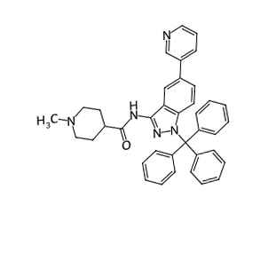 CN1CCC(C(=O)Nc2nn(C(c3ccccc3)(c3ccccc3)c3ccccc3)c3ccc(-c4cccnc4)cc23)CC1